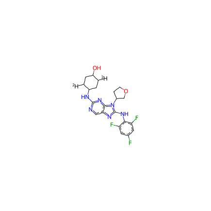 [2H]C1CC(Nc2ncc3nc(Nc4c(F)cc(F)cc4F)n(C4CCOC4)c3n2)C([2H])CC1O